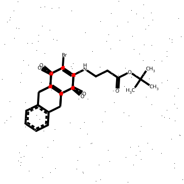 CC(C)(C)OC(=O)CCNC1=C(Br)C(=O)C2=C(C1=O)C1C3=C(C(=O)C=CC3=O)C2c2ccccc21